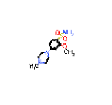 COc1cc(N2CCN(C)CC2)ccc1S(N)(=O)=O